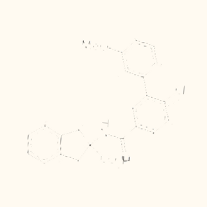 COc1cccc(-c2cc(C(=O)NC3(C(=O)O)Cc4ccccc4C3)ccc2Cl)c1